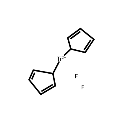 C1=C[CH]([Ti+2][CH]2C=CC=C2)C=C1.[F-].[F-]